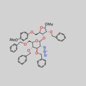 COc1ccc(OC[C@H]2OC(OC)[C@H](OCc3ccccc3)[C@@H]2O[C@@H]2O[C@H](COCc3ccccc3)[C@@H](OCc3ccccc3)[C@H](OCc3ccccc3)[C@H]2N=[N+]=[N-])cc1